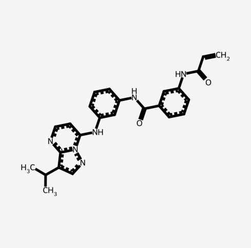 C=CC(=O)Nc1cccc(C(=O)Nc2cccc(Nc3ccnc4c(C(C)C)cnn34)c2)c1